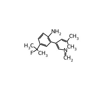 C=N/C=C(\C=C(C)C)c1cc(C(C)(C)F)ccc1N